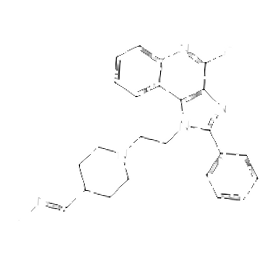 ON=CC1CCN(CCn2c(-c3ccccc3)nc3c(Cl)nc4ccccc4c32)CC1